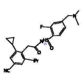 CC(C)c1cc(C#N)cc(C2CC2)c1CC(=O)/N=[SH](=O)/c1ccc(CN(C)C)cc1F